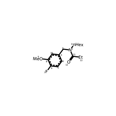 CCCCCCN(Cc1ccc(F)c(OC)c1)C(=O)CC